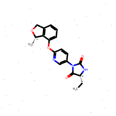 CC[C@H]1NC(=O)N(c2ccc(Oc3cccc4c3[C@H](C)OC4)nc2)C1=O